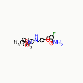 CC(C)(C)OC(=O)N1CCC(NCc2ccc(-c3cc4cc(F)cc(C(N)=O)c4o3)cc2)CC1